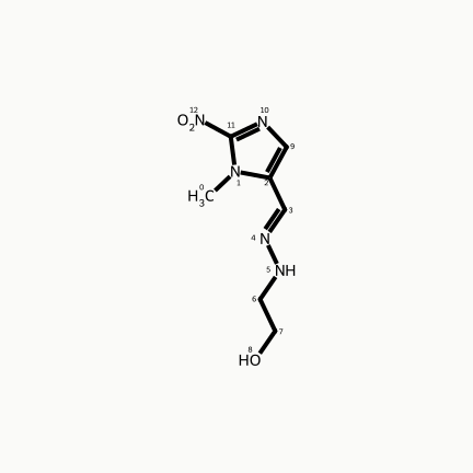 Cn1c(C=NNCCO)cnc1[N+](=O)[O-]